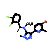 Cc1nc(-c2nnn(C)c2N(C(=O)O)[C@H](C)c2cccc(F)c2F)ccc1Br